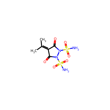 CC(C)=C1C(=O)N(S(N)(=O)=O)N(S(N)(=O)=O)C1=O